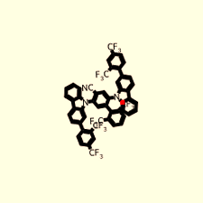 N#Cc1cc(-n2c3ccccc3c3ccc(-c4ccc(C(F)(F)F)cc4C(F)(F)F)cc32)c(-c2c(C(F)(F)F)cccc2C(F)(F)F)cc1-n1c2ccccc2c2ccc(-c3ccc(C(F)(F)F)cc3C(F)(F)F)cc21